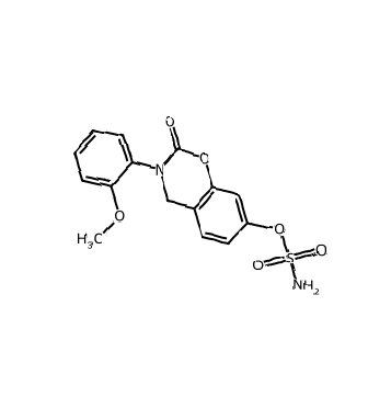 COc1ccccc1N1Cc2ccc(OS(N)(=O)=O)cc2OC1=O